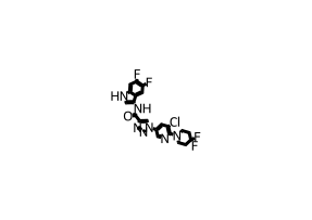 O=C(Nc1c[nH]c2cc(F)c(F)cc12)c1cn(-c2cnc(N3CCC(F)(F)CC3)c(Cl)c2)nn1